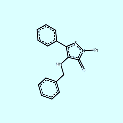 CC(C)n1sc(-c2ccccc2)c(NCc2ccccc2)c1=O